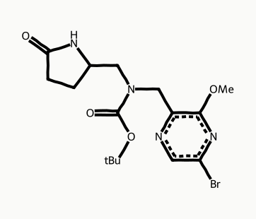 COc1nc(Br)cnc1CN(CC1CCC(=O)N1)C(=O)OC(C)(C)C